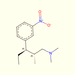 CC[C@@H](c1cccc([N+](=O)[O-])c1)[C@@H](C)CN(C)C